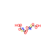 COc1cc2sc(C(=O)CCC(=O)O)nc2cc1OCCc1nc2cc(C(=O)CCC(=O)O)sc2cc1OC